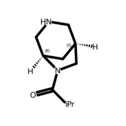 CC(C)C(=O)N1C[C@@H]2CNC[C@H]1C2